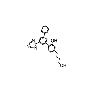 OCCCCc1ccc(-c2cc(-c3ccccc3)cc(-c3ncncn3)c2)c(O)c1